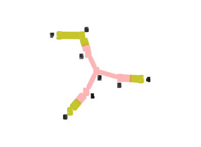 S=BB(B=S)B=S=S